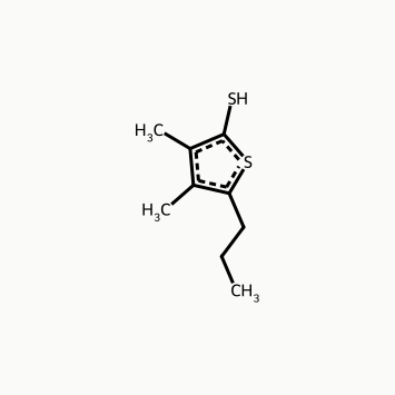 CCCc1sc(S)c(C)c1C